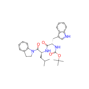 CC(C)C[C@H](NC(=O)[C@H](Cc1c[nH]c2ccccc12)NC(=O)OC(C)(C)C)C(=O)N1CCc2ccccc21